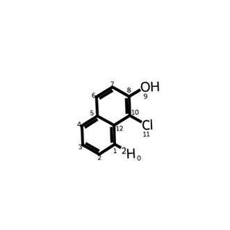 [2H]c1cccc2ccc(O)c(Cl)c12